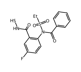 CCS(=O)(=O)N(C(=O)c1ccccc1)c1c[c]c(F)cc1C(=O)NS